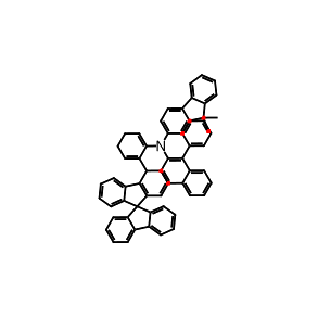 CC1(C)c2ccccc2-c2ccc(N(C3=CCCC=C3C3CC=CC4=C3c3ccccc3C43c4ccccc4-c4ccccc43)c3ccc4ccccc4c3-c3ccccc3)cc21